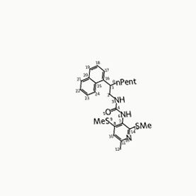 CCCCCC(CNC(=O)Nc1c(SC)cc(C)nc1SC)c1cccc2ccccc12